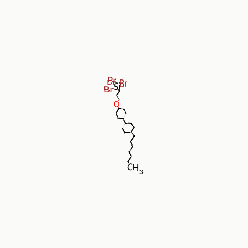 CCCCCCC[C@H]1CC[C@H]([C@H]2CC[C@H](OCCC[Si](Br)(Br)Br)CC2)CC1